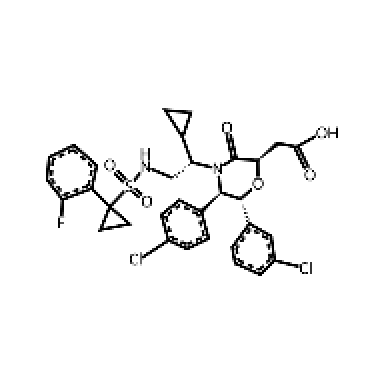 O=C(O)C[C@H]1O[C@H](c2cccc(Cl)c2)[C@@H](c2ccc(Cl)cc2)N([C@H](CNS(=O)(=O)C2(c3ccccc3F)CC2)C2CC2)C1=O